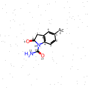 CC(=O)c1ccc2c(c1)CC(=O)N2C(N)=O